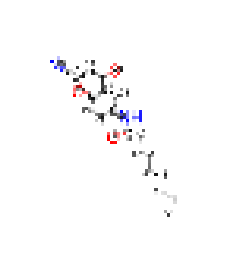 CCCCCCCCC(=O)Nc1ccc2oc(C#N)cc(=O)c2c1